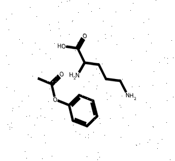 CC(=O)Oc1ccccc1.NCCCC(N)C(=O)O